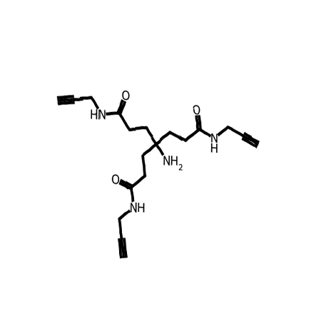 C#CCNC(=O)CCC(N)(CCC(=O)NCC#C)CCC(=O)NCC#C